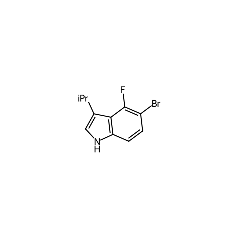 CC(C)c1c[nH]c2ccc(Br)c(F)c12